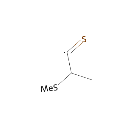 CSC(C)[C]=S